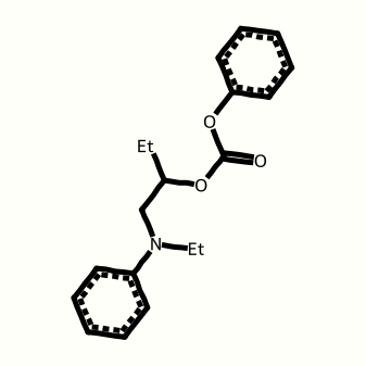 CCC(CN(CC)c1ccccc1)OC(=O)Oc1ccccc1